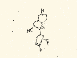 N#Cc1cc2c(nc1-c1ccc(F)c(F)c1)CCNC2